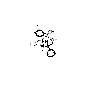 CCC(CO)(c1ccccc1)N(OC(C)c1ccccc1)C(C)(C)CO